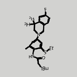 [2H]C1([2H])CN(c2cc(C)c(NC(=O)CC(C)(C)C)c(SCC)c2)Cc2ccc(F)cc21